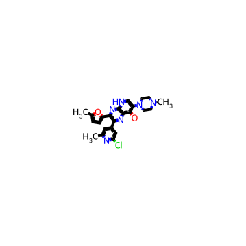 Cc1cc(-c2nc3c(=O)c(N4CCN(C)CC4)c[nH]c3nc2-c2ccc(C)o2)cc(Cl)n1